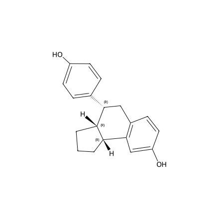 Oc1ccc([C@@H]2Cc3ccc(O)cc3[C@@H]3CCC[C@H]23)cc1